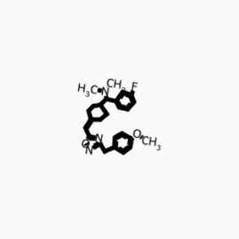 COc1ccc(Cc2noc(C=C3CCC(C(c4cccc(F)c4)N(C)C)CC3)n2)cc1